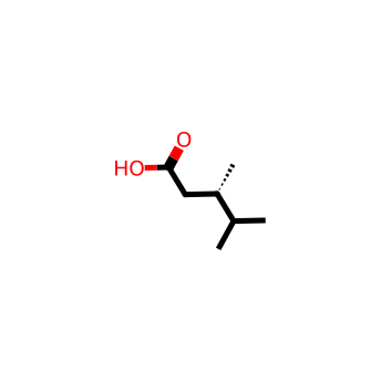 CC(C)[C@@H](C)CC(=O)O